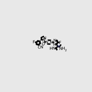 CC(=N)/C(=C(/C)N)c1nc(N2CCN(C(=O)N3N=CC[C@H]3c3cc(F)cc(C#N)c3)CC2)ncc1F